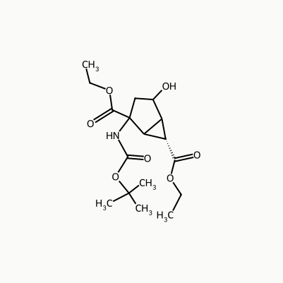 CCOC(=O)[C@H]1C2C(O)CC(NC(=O)OC(C)(C)C)(C(=O)OCC)C21